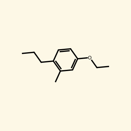 CCCc1ccc(OCC)cc1C